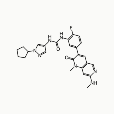 CNc1cc2c(cn1)cc(-c1ccc(F)c(NC(=O)Nc3cnn(C4CCCC4)c3)c1)c(=O)n2C